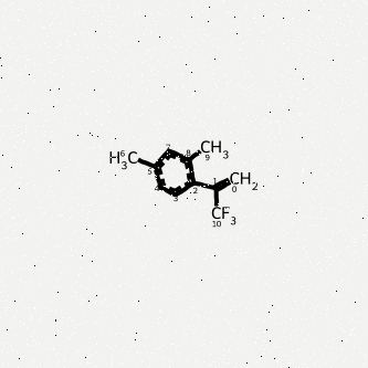 C=C(c1ccc(C)cc1C)C(F)(F)F